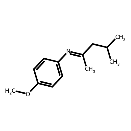 COc1ccc(/N=C(\C)CC(C)C)cc1